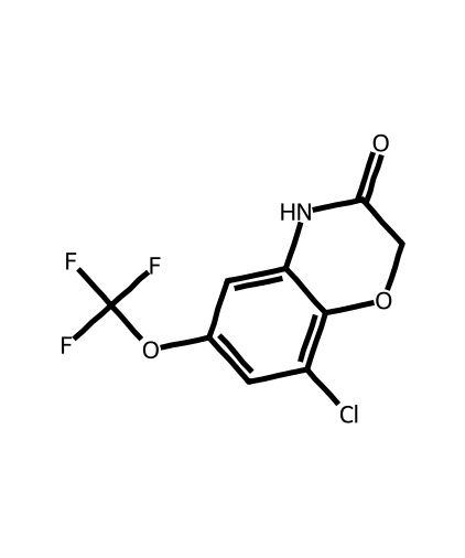 O=C1COc2c(Cl)cc(OC(F)(F)F)cc2N1